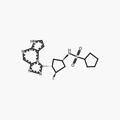 O=S(=O)(N[C@H]1C[C@@H](I)[C@H](c2nnc3cnc4[nH]ccc4n23)C1)C1CCCC1